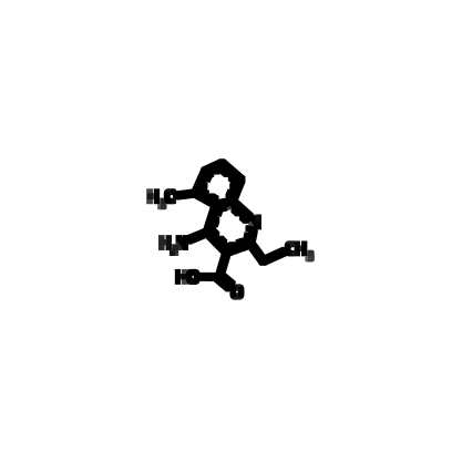 CCc1nc2cccc(C)c2c(N)c1C(=O)O